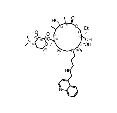 CC[C@H]1OC(=O)[C@H](C)[C@@H](O)C(C)[C@@H](O[C@@H]2O[C@H](C)C[C@H](N(C)C)[C@H]2O)[C@](C)(O)C[C@@H](C)CN(CCCNCc2ccnc3ccccc23)[C@H](C)[C@@H](O)[C@]1(C)O